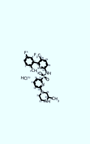 Cc1ccc(F)cc1-c1nc(NS(=O)(=O)c2cccc(N3CCNC(C)C3)n2)ccc1C(F)(F)F.Cl